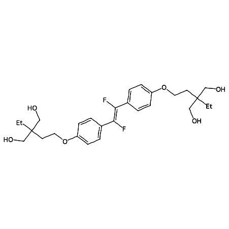 CCC(CO)(CO)CCOc1ccc(/C(F)=C(\F)c2ccc(OCCC(CC)(CO)CO)cc2)cc1